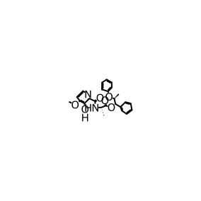 COc1ccnc(C(=O)N[C@@H](C)C(=O)O[C@H](c2ccccc2)[C@H](C)Oc2ccccc2)c1O